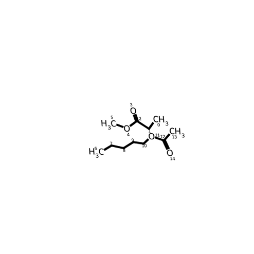 CCC(=O)OC.CCCCCOC(C)=O